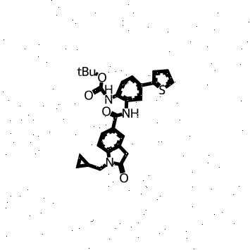 CC(C)(C)OC(=O)Nc1ccc(-c2cccs2)cc1NC(=O)c1ccc2c(c1)CC(=O)N2CC1CC1